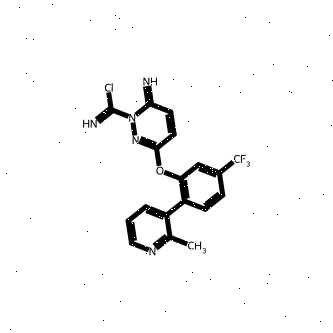 Cc1ncccc1-c1ccc(C(F)(F)F)cc1Oc1ccc(=N)n(C(=N)Cl)n1